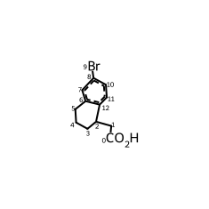 O=C(O)CC1CCCc2cc(Br)ccc21